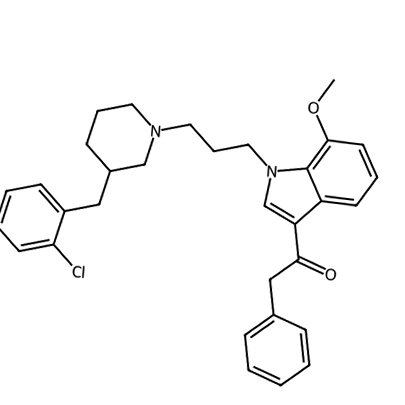 COc1cccc2c(C(=O)Cc3ccccc3)cn(CCCN3CCCC(Cc4ccccc4Cl)C3)c12